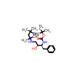 CC(C)(C)CC(C)(C)NC[C@H](O)[C@H](Cc1ccccc1)NC(=O)OC(C)(C)C